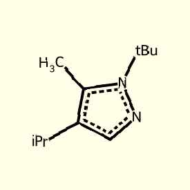 Cc1c(C(C)C)cnn1C(C)(C)C